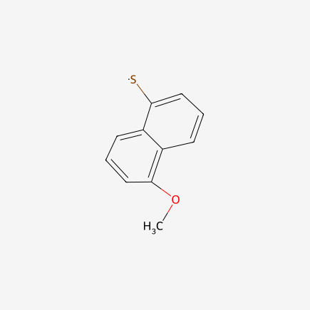 COc1cccc2c([S])cccc12